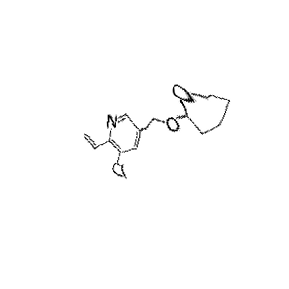 C=Cc1ncc(COC2CCCCO2)cc1Cl